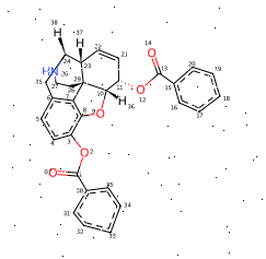 O=C(Oc1ccc2c3c1O[C@H]1[C@@H](OC(=O)c4ccccc4)C=C[C@H]4[C@@H](C2)NCC[C@@]341)c1ccccc1